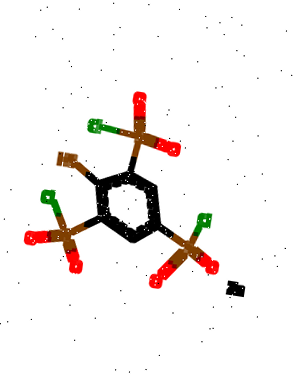 O=S(=O)(Cl)c1cc(S(=O)(=O)Cl)c(S)c(S(=O)(=O)Cl)c1.[Zn]